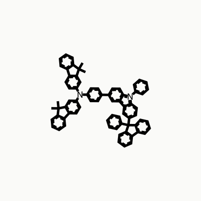 CC1(C)c2ccccc2-c2ccc(N(c3ccc(-c4ccc5c(c4)c4cc(C6(c7ccccc7)c7ccccc7-c7ccccc76)ccc4n5-c4ccccc4)cc3)c3ccc4c(c3)C(C)(C)c3ccccc3-4)cc21